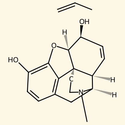 C=CC.CN1CC[C@]23c4c5ccc(O)c4O[C@H]2[C@@H](O)C=C[C@H]3[C@H]1C5